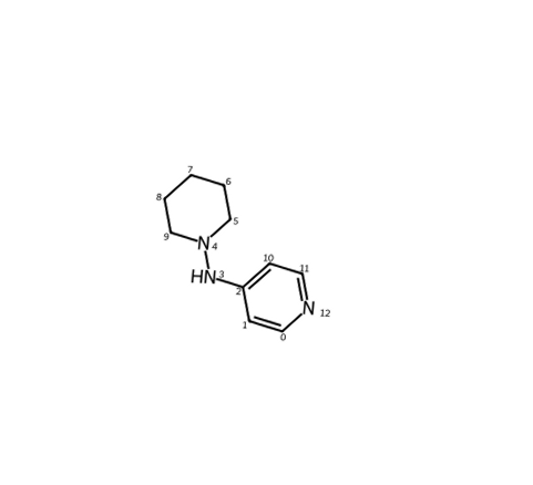 c1cc(NN2CCCCC2)ccn1